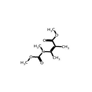 COC(=O)/C(C)=C(/C)N(C)C(=O)OC